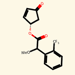 COC(C(=O)O[C@@H]1C=CC(=O)C1)c1ccccc1C(F)(F)F